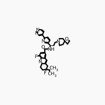 CC(C)[C@]1(F)CCc2nc3c(F)cc(C(=O)N[C@H](CCN4CCC5(CCO5)CC4)c4ccc(-c5ccnnc5)nc4)cc3cc2C1